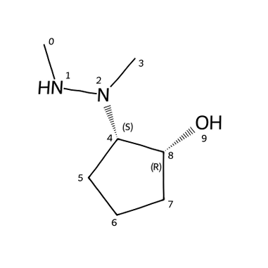 CNN(C)[C@H]1CCC[C@H]1O